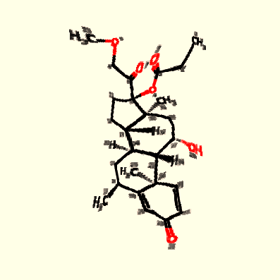 CCC(=O)O[C@]1(C(=O)COC)CC[C@H]2[C@@H]3C[C@H](C)C4=CC(=O)C=C[C@]4(C)[C@H]3[C@@H](O)C[C@@]21C